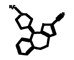 CN1CCC(=C2c3ccccc3CCc3cc(C#N)sc32)CC1